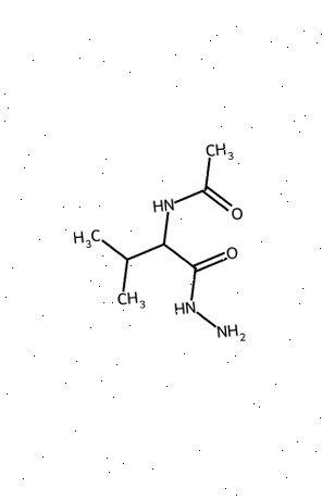 CC(=O)NC(C(=O)NN)C(C)C